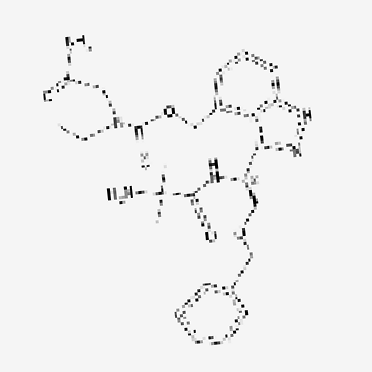 CCN(CC(N)=O)C(=O)OCc1cccc2nnc([C@@H](COCc3ccccc3)NC(=O)C(C)(C)N)n12